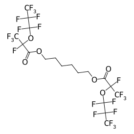 O=C(OCCCCCCOC(=O)C(F)(OC(F)(F)C(F)(F)C(F)(F)F)C(F)(F)F)C(F)(OC(F)(F)C(F)(F)C(F)(F)F)C(F)(F)F